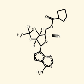 CC1(C)O[C@H]2[C@H](c3ccc4c(N)ncnn34)O[C@](C#N)(COC(=O)C3CCCC3)[C@H]2O1